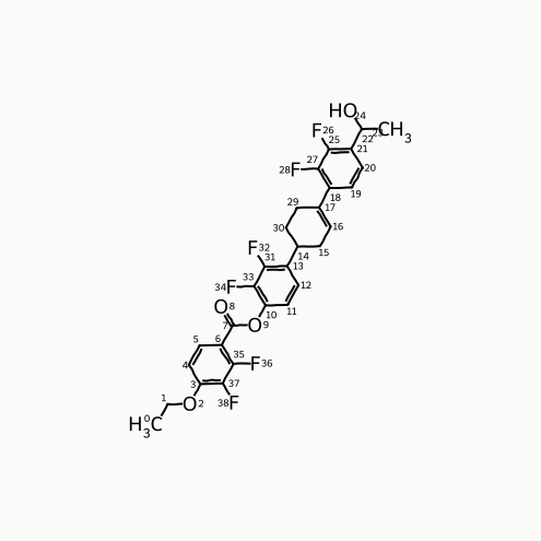 CCOc1ccc(C(=O)Oc2ccc(C3CC=C(c4ccc(C(C)O)c(F)c4F)CC3)c(F)c2F)c(F)c1F